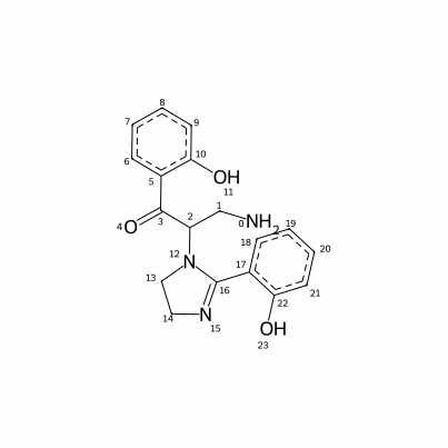 NCC(C(=O)c1ccccc1O)N1CCN=C1c1ccccc1O